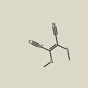 [C-]#[N+]/C(SC)=C(\C#N)SC